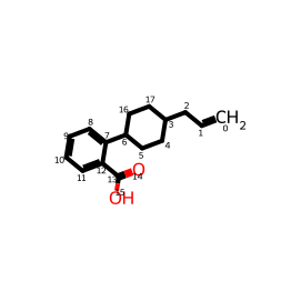 C=CCC1CCC(c2ccccc2C(=O)O)CC1